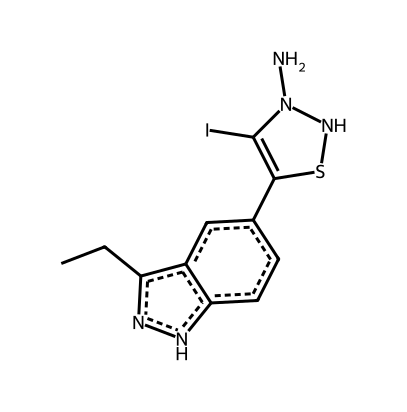 CCc1n[nH]c2ccc(C3=C(I)N(N)NS3)cc12